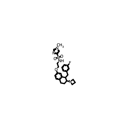 Cn1cnc(S(=O)(=O)NCCOc2ccc3c(c2)C(Cc2cccc(F)c2)C(N2CCC2)CC3)c1